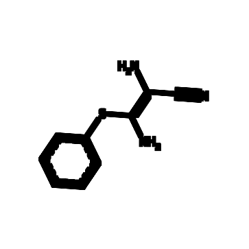 N#CC(N)=C(N)Sc1ccccc1